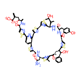 C=C(CC(=O)C(=C)NC(=O)c1csc(-c2ccc3c(n2)-c2csc(n2)-c2csc(n2)C(C(C)C(C)O)NC(=O)C(Cc2ccc(O)cc2)NC(=O)c2csc(n2)C(C(O)c2ccccc2)CC(=O)c2nc(sc2C)C(CC(N)=O)NC(=O)c2csc-3n2)n1)C(=O)O